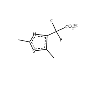 CCOC(=O)C(F)(F)c1nc(C)sc1C